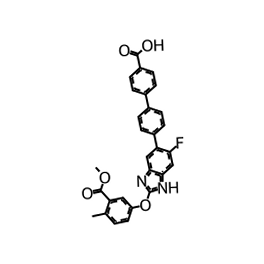 COC(=O)c1cc(Oc2nc3cc(-c4ccc(-c5ccc(C(=O)O)cc5)cc4)c(F)cc3[nH]2)ccc1C